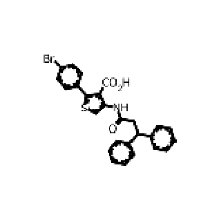 O=C(CC(c1ccccc1)c1ccccc1)Nc1csc(-c2ccc(Br)cc2)c1C(=O)O